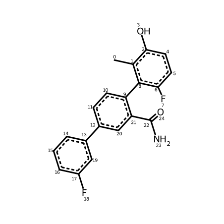 Cc1c(O)ccc(F)c1-c1ccc(-c2cccc(F)c2)cc1C(N)=O